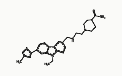 CCn1c2ccc(CNCCN3CCC(C(N)=O)CC3)cc2c2ccc(-c3cc(C)cs3)cc21